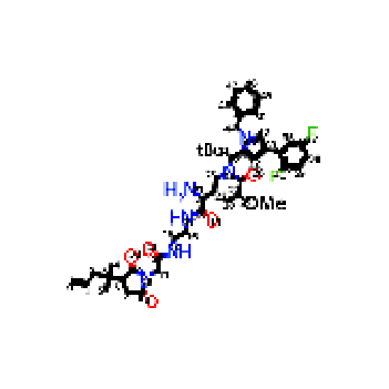 C=CCC(C)(C)C1CC(=O)N(CC(=O)NCCNC(=O)[C@@H](N)CCN(C(=O)[C@H](C)OC)[C@@H](c2cc(-c3cc(F)ccc3F)cn2Cc2ccccc2)C(C)(C)C)C1=O